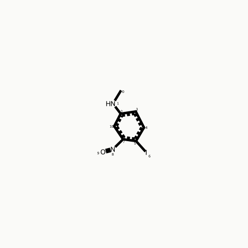 CNc1ccc(I)c(N=O)c1